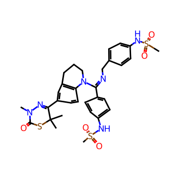 CN1N=C(c2ccc3c(c2)CCCN3/C(=N\Cc2ccc(NS(C)(=O)=O)cc2)c2ccc(NS(C)(=O)=O)cc2)C(C)(C)SC1=O